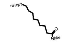 CCCCCCCCCCCCCCCC(=O)NC